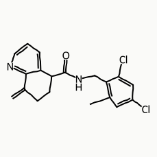 C=C1CCC(C(=O)NCc2c(C)cc(Cl)cc2Cl)c2cccnc21